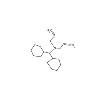 C=CCN(CC=C)C(C1CCCCC1)C1CCCCC1